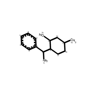 CCCC(c1ccccc1)C1CCC(C)CC1O